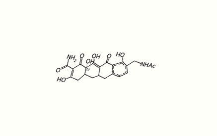 CC(=O)NCc1ccc2c(c1O)C(=O)C1=C(O)[C@]3(O)C(=O)C(C(N)=O)=C(O)CC3CC1C2